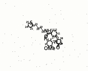 COc1ccc(F)cc1-n1c(-c2cccc(C(=O)NCCCCc3cccs3)c2)csc1=O